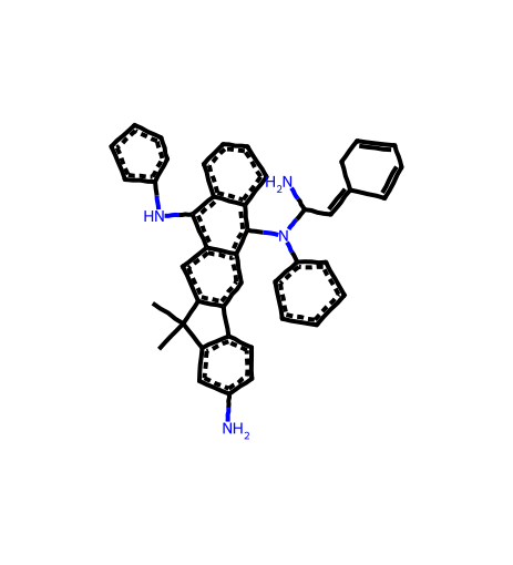 CC1(C)c2cc(N)ccc2-c2cc3c(N(c4ccccc4)C(N)/C=C4/C=CC=CC4)c4ccccc4c(Nc4ccccc4)c3cc21